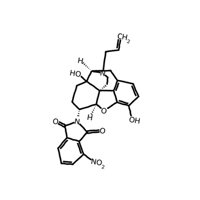 C=CCN1CC[C@]23c4c5ccc(O)c4O[C@H]2[C@H](N2C(=O)c4cccc([N+](=O)[O-])c4C2=O)CCC3(O)[C@H]1C5